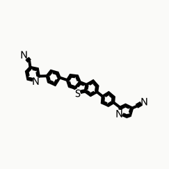 N#Cc1ccnc(-c2ccc(-c3ccc4c(c3)sc3cc(-c5ccc(-c6cc(C#N)ccn6)cc5)ccc34)cc2)c1